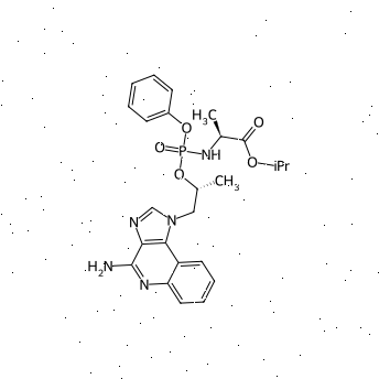 CC(C)OC(=O)[C@H](C)NP(=O)(Oc1ccccc1)O[C@H](C)Cn1cnc2c(N)nc3ccccc3c21